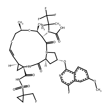 COc1ccc2c(O[C@@H]3C[C@H]4C(=O)N[C@]5(C(=O)NS(=O)(=O)C6(CF)CC6)C[C@H]5/C=C\CC[C@@H](C)C[C@@H](C)[C@H](N(C(=O)O)C(C)(C)C(F)(F)F)C(=O)N4C3)ncc(F)c2c1